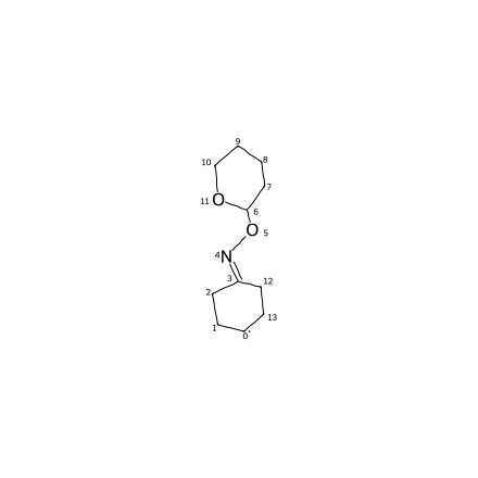 [CH]1CCC(=NOC2CCCCO2)CC1